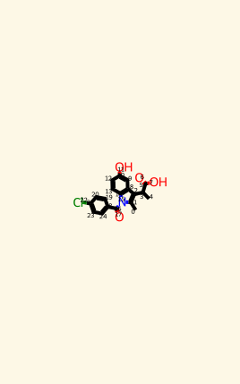 Cc1c(C(C)C(=O)O)c2cc(O)ccc2n1C(=O)c1ccc(Cl)cc1